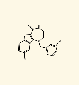 O=C1NCCN(Cc2cccc(Cl)c2)c2c1sc1ccc(Cl)cc21